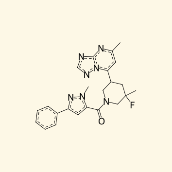 Cc1cc(C2CN(C(=O)c3cc(-c4ccccc4)nn3C)CC(C)(F)C2)n2ncnc2n1